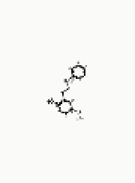 CCOc1ccc(O)c(CCNc2ccccc2)c1